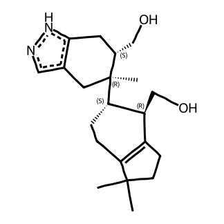 CC1(C)CCC2=C1CC[C@H]([C@@]1(C)Cc3cn[nH]c3C[C@@H]1CO)[C@H]2CO